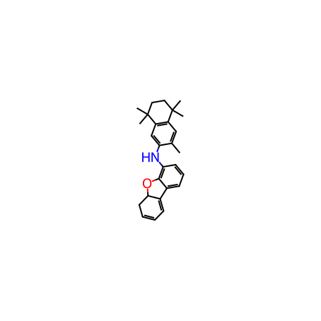 Cc1cc2c(cc1Nc1cccc3c1OC1CC=CC=C31)C(C)(C)CCC2(C)C